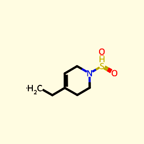 [CH2]CC1=CCN([SH](=O)=O)CC1